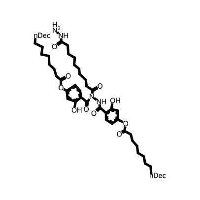 CCCCCCCCCCCCCCCCCC(=O)Oc1ccc(C(=O)NN(C(=O)CCCCCCCCC(=O)NN)C(=O)c2ccc(OC(=O)CCCCCCCCCCCCCCCCC)cc2O)c(O)c1